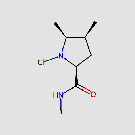 CNC(=O)[C@@H]1C[C@H](C)[C@H](C)N1Cl